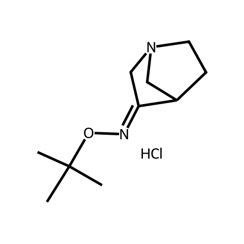 CC(C)(C)ON=C1CN2CCC1C2.Cl